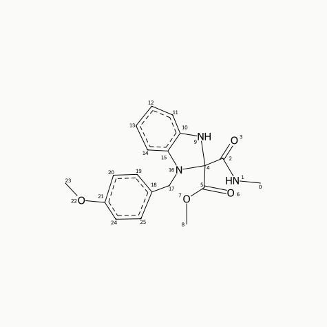 CNC(=O)C1(C(=O)OC)Nc2ccccc2N1Cc1ccc(OC)cc1